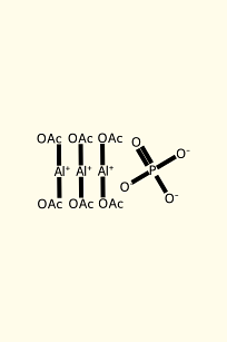 CC(=O)[O][Al+][O]C(C)=O.CC(=O)[O][Al+][O]C(C)=O.CC(=O)[O][Al+][O]C(C)=O.O=P([O-])([O-])[O-]